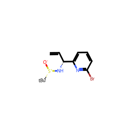 C=C[C@@H](N[S@@+]([O-])C(C)(C)C)c1cccc(Br)n1